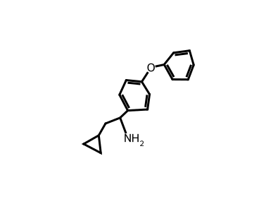 NC(CC1CC1)c1ccc(Oc2ccccc2)cc1